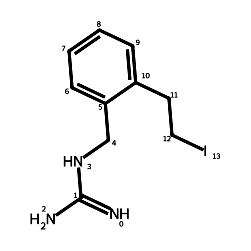 N=C(N)NCc1ccccc1CCI